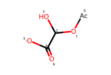 CC(=O)OC(O)C([O])=O